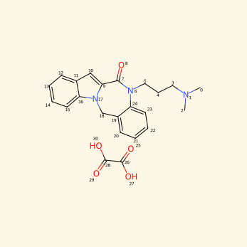 CN(C)CCCN1C(=O)c2cc3ccccc3n2Cc2ccccc21.O=C(O)C(=O)O